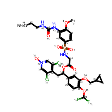 CCOc1ccc(S(=O)(=O)NCC(=O)OC(Cc2c(Cl)c[n+]([O-])cc2Cl)c2ccc(OC(F)F)c(OCC3CC3)c2)cc1NC(=O)NCCOC